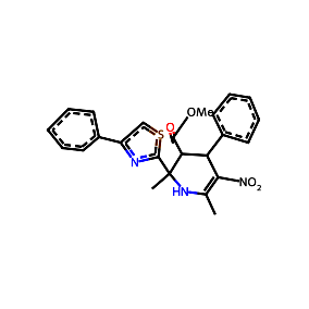 COC(=O)C1C(c2ccccc2)C([N+](=O)[O-])=C(C)NC1(C)c1nc(-c2ccccc2)cs1